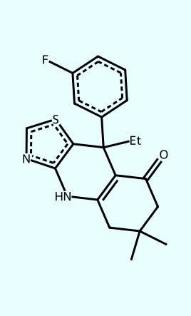 CCC1(c2cccc(F)c2)C2=C(CC(C)(C)CC2=O)Nc2ncsc21